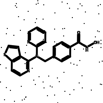 O=C(NO)c1ccc(CN(c2ccccn2)c2nccc3sccc23)cc1